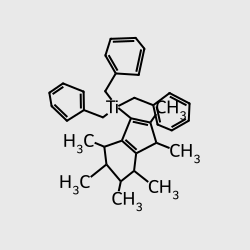 CC1=[C]([Ti]([CH2]c2ccccc2)([CH2]c2ccccc2)[CH2]c2ccccc2)C2=C(C1C)C(C)C(C)C(C)C2C